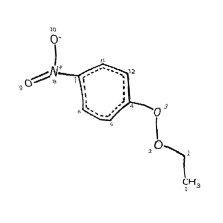 CCOOc1ccc([N+](=O)[O-])cc1